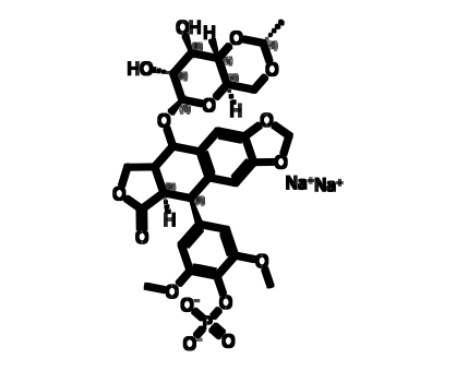 COc1cc([C@@H]2c3cc4c(cc3C(O[C@@H]3O[C@@H]5CO[C@@H](C)O[C@H]5[C@H](O)[C@H]3O)C3COC(=O)[C@@H]32)OCO4)cc(OC)c1OP(=O)([O-])[O-].[Na+].[Na+]